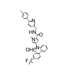 Cc1ccc(-c2ccc(CNC(=O)c3cc(N(C=O)c4ccccc4-c4ccc(C(F)(F)F)cc4)cn3C)cn2)cc1